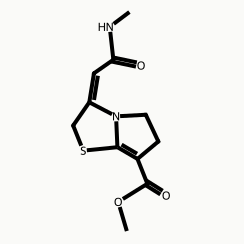 CNC(=O)C=C1CSC2=C(C(=O)OC)CCN12